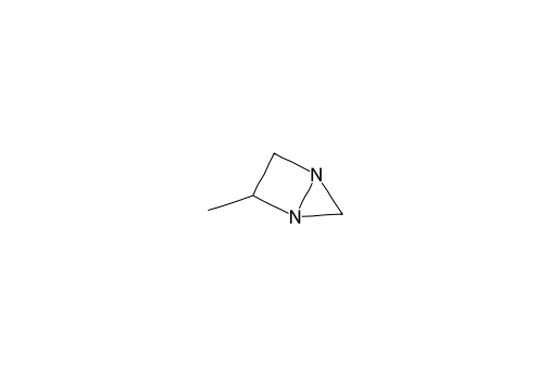 CC1CN2CN12